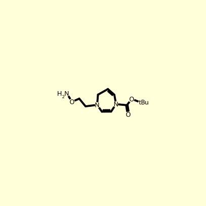 CC(C)(C)OC(=O)N1C=CCN(CCON)C=C1